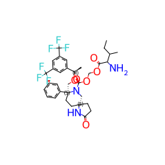 CCC(C)C(N)C(=O)OCOC(=O)N1C[C@@]2(CCC(=O)N2)CC[C@@]1(CO[C@H](C)c1cc(C(F)(F)F)cc(C(F)(F)F)c1)c1ccccc1